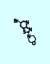 Brc1cnc2nc(N3CCOCC3)sc2c1